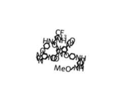 COCCNc1cc(N[C@H]2CC[C@@H](Oc3cc(N4CCOCC4)cc4ncc(C5CN(c6cc(O[C@H]7CC[C@@H](NC(=O)c8cc(C(F)(F)F)n[nH]8)CC7)c7nccnc7c6)CCO5)nc34)CC2)ncn1